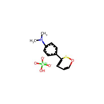 CN(C)c1ccc(C2=CC=COS2)cc1.[O-][Cl+3]([O-])([O-])O